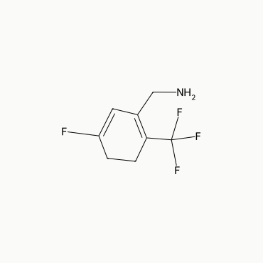 NCC1=C(C(F)(F)F)CCC(F)=C1